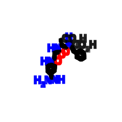 N=C(N)c1ccc(NC(=O)CC(=O)N[C@@H](CC(=O)O)C(=O)N[C@@H](Cc2ccccc2)C(=O)O)cc1